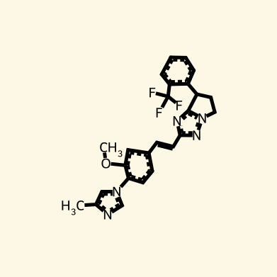 COc1cc(C=Cc2nc3n(n2)CCC3c2ccccc2C(F)(F)F)ccc1-n1cnc(C)c1